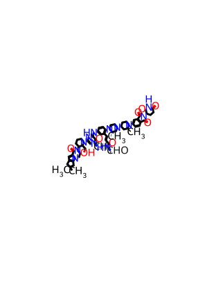 C[C@H]1CC(N2CCN(c3ccc(Nc4nc(N5CCCC(N6CCn7c(cc8c7CC(C)(C)C8)C6=O)C5CO)cn(C)c4=O)cc3C=CC(=O)NC=O)[C@@H](C)C2)CCN1c1ccc2c(c1)C(=O)N(C1CCC(=O)NC1=O)C2=O